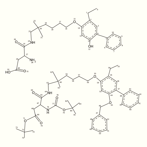 CCc1cc(-c2ccccc2)c(O)cc1OCCCCC(C)(C)CNC(=O)C(N)CC(=O)O.CCc1cc(-c2ccccc2)c(OCc2ccccc2)cc1OCCCCC(C)(C)CNC(=O)C(CC(=O)OC(C)(C)C)NC(=O)OC(C)(C)C